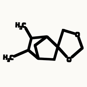 CC1C2CC(C1C)C1(COCO1)C2